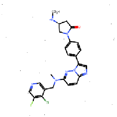 CN(Cc1cncc(F)c1Cl)c1ccc2ncc(-c3ccc(N4C[C@@H](NC(=O)O)CC4=O)cc3)n2n1